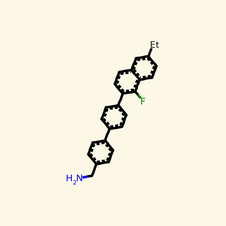 CCc1ccc2c(F)c(-c3ccc(-c4ccc(CN)cc4)cc3)ccc2c1